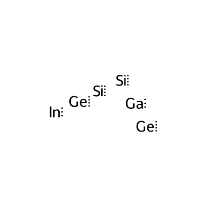 [Ga].[Ge].[Ge].[In].[Si].[Si]